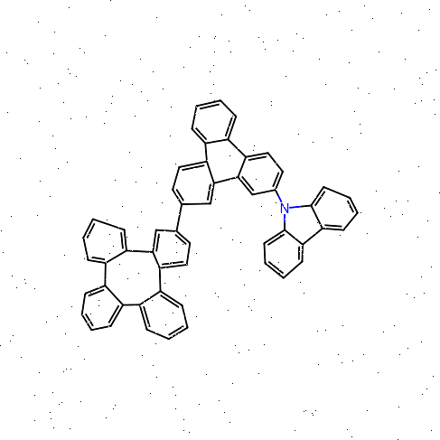 c1ccc2c(c1)-c1ccccc1-c1ccc(-c3ccc4c5ccccc5c5ccc(-n6c7ccccc7c7ccccc76)cc5c4c3)cc1-c1ccccc1-2